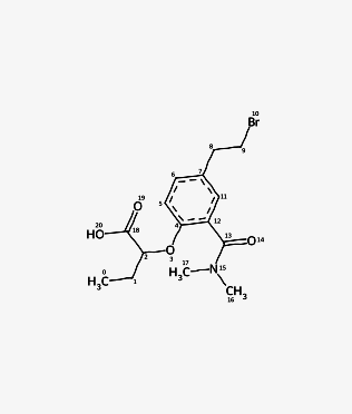 CCC(Oc1ccc(CCBr)cc1C(=O)N(C)C)C(=O)O